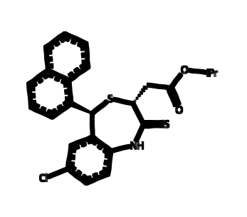 CC(C)OC(=O)C[C@H]1S[C@H](c2cccc3ccccc23)c2cc(Cl)ccc2NC1=S